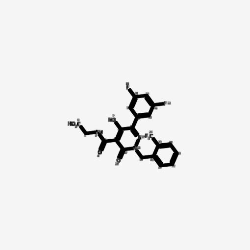 O=C(O)CNC(=O)c1c(O)c(-c2cc(F)cc(F)c2)nn(Cc2ccccc2C(F)(F)F)c1=O